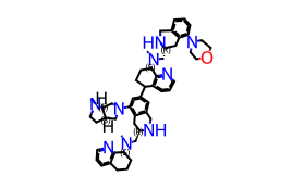 CN1CC[C@H]2CN(c3cc(C4CC[C@H](N(C)C[C@H]5Cc6c(cccc6N6CCOCC6)CN5)c5ncccc54)cc4c3C[C@H](CN(C)[C@H]3CCCc5cccnc53)NC4)C[C@H]21